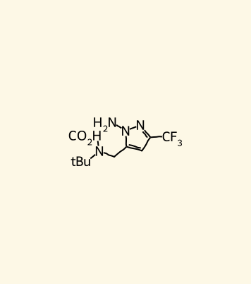 CC(C)(C)N(Cc1cc(C(F)(F)F)nn1N)C(=O)O